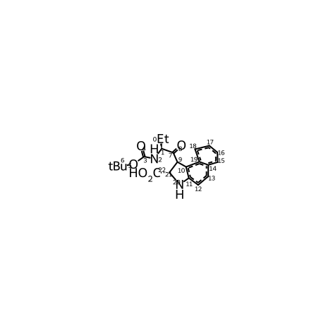 CC[C@H](NC(=O)OC(C)(C)C)C(=O)C1c2c(ccc3ccccc23)N[C@@H]1C(=O)O